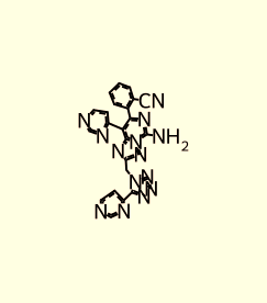 N#Cc1ccccc1-c1nc(N)n2nc(Cn3nnnc3-c3ccncn3)nc2c1-c1ccncn1